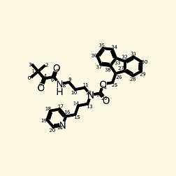 CC(C)(C)C(=O)C(=O)NCCCN(CCCc1ccccn1)C(=O)OCC1c2ccccc2-c2ccccc21